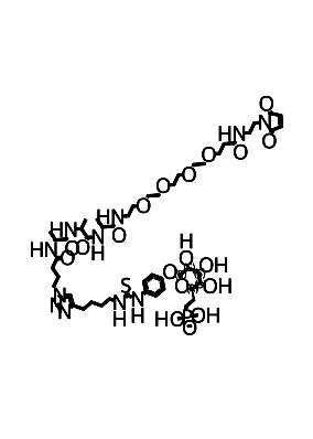 CC(NC(=O)CCCn1cc(CCCCNC(=S)Nc2ccc(O[C@H]3O[C@H](CCP(=O)(O)O)[C@@H](O)[C@H](O)[C@@H]3O)cc2)nn1)C(=O)NC(C)C(=O)NC(C)C(=O)NCCOCCOCCOCCOCCC(=O)NCCN1C(=O)C=CC1=O